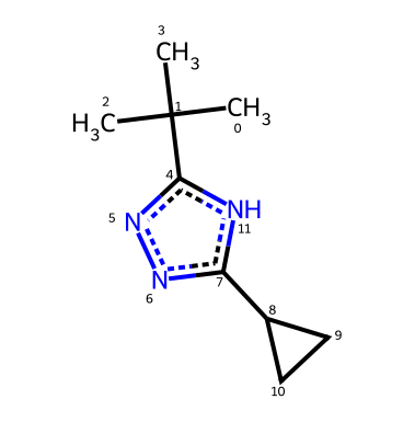 CC(C)(C)c1nnc(C2CC2)[nH]1